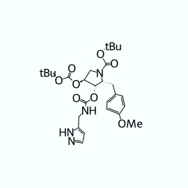 COc1ccc(C[C@@H]2[C@H](OC(=O)NCc3ccn[nH]3)[C@@H](OC(=O)OC(C)(C)C)CN2C(=O)OC(C)(C)C)cc1